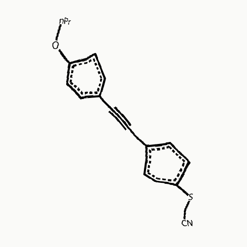 CCCOc1ccc(C#Cc2ccc(SC#N)cc2)cc1